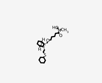 CN(O)C(=O)CCCCOC[C@@H]1[C@H](CCSC2CCCCC2)[C@@H]2CC[C@H]1O2